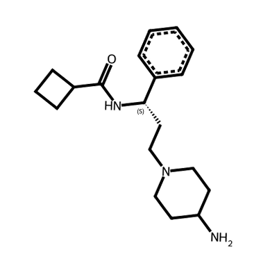 NC1CCN(CC[C@H](NC(=O)C2CCC2)c2ccccc2)CC1